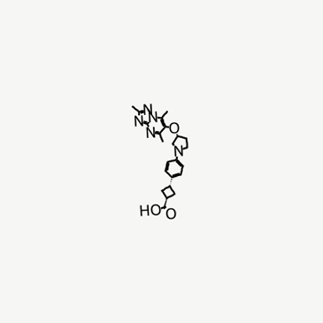 Cc1nc2nc(C)c(O[C@@H]3CCN(c4ccc([C@H]5C[C@H](C(=O)O)C5)cc4)C3)c(C)n2n1